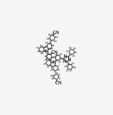 N#Cc1ccc(-c2ccc3c(c2)c2ccccc2n3-c2cc(-c3nc(-c4ccccc4)nc(-c4ccccc4)n3)ccc2-c2cccc(-n3c4ccccc4c4cc(-c5ccc(C#N)cc5)ccc43)c2C#N)cc1